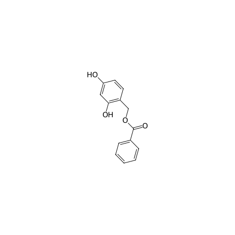 O=C(OCc1ccc(O)cc1O)c1ccccc1